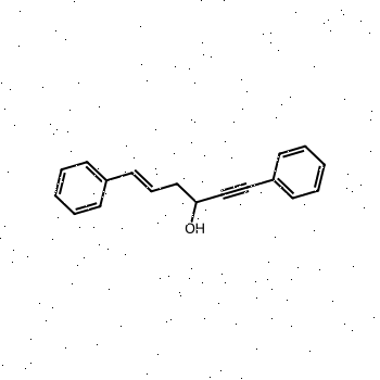 OC(C#Cc1ccccc1)CC=Cc1ccccc1